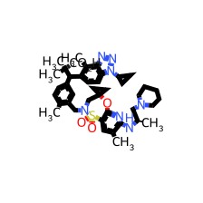 Cc1ccc(C(c2ccc3c(nnn3C3CC3)c2C)C(C)(C)C(=O)O)cc1CN1CC2(CC2)Oc2nc(N[C@@H](C)CN3CCCCC3)c(C)cc2S1(=O)=O